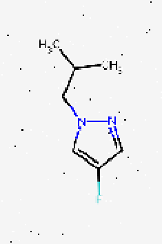 CC(C)Cn1cc(F)cn1